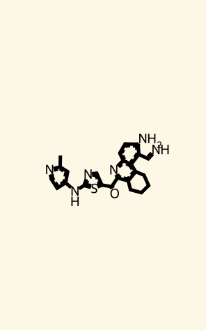 Cc1cc(Nc2ncc(C(=O)c3nc4ccc(N)c(C=N)c4c4c3CCCC4)s2)ccn1